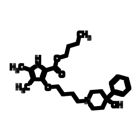 CCCCOC(=O)c1[nH]c(C)c(C)c1OCCCCN1CCC(O)(c2ccccc2)CC1